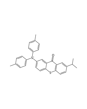 Cc1ccc([S+](c2ccc(C)cc2)c2ccc3sc4ccc(C(C)C)cc4c(=O)c3c2)cc1